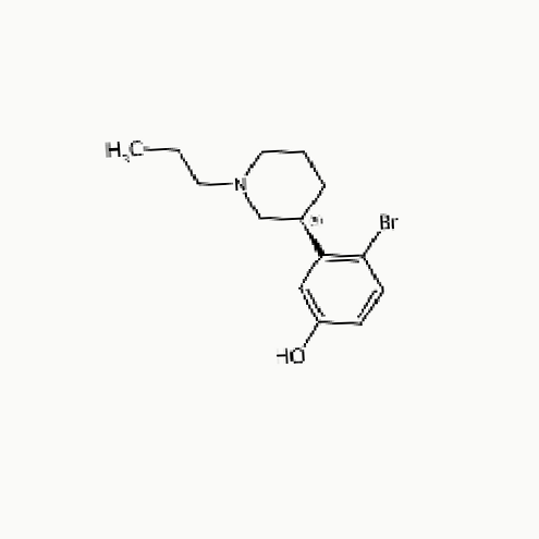 CCCN1CCC[C@@H](c2cc(O)ccc2Br)C1